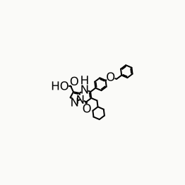 O=C(O)c1cnn2c(=O)c(CC3CCCCC3)c(-c3ccc(OCc4ccccc4)cc3)[nH]c12